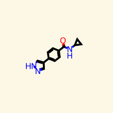 O=C(NC1CC1)c1ccc(-c2cn[nH]c2)cc1